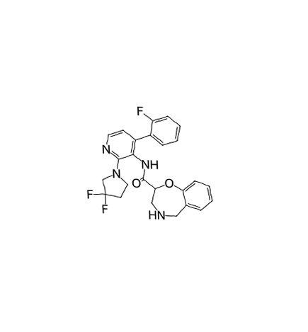 O=C(Nc1c(-c2ccccc2F)ccnc1N1CCC(F)(F)C1)C1CNCc2ccccc2O1